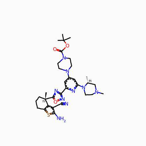 C[C@@H]1CN(C)CCN1c1cc(N2CCN(C(=O)OC(C)(C)C)CC2)cc(-c2noc([C@@]3(C)CCCc4sc(N)c(C#N)c43)n2)n1